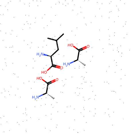 CC(C)C[C@H](N)C(=O)O.C[C@H](N)C(=O)O.C[C@H](N)C(=O)O